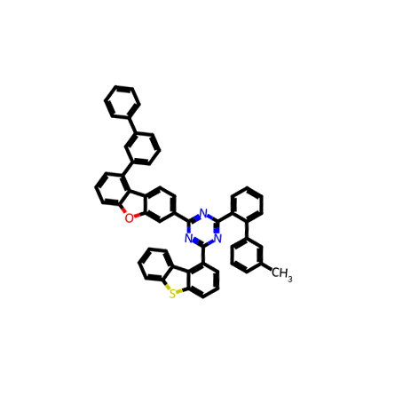 Cc1cccc(-c2ccccc2-c2nc(-c3ccc4c(c3)oc3cccc(-c5cccc(-c6ccccc6)c5)c34)nc(-c3cccc4sc5ccccc5c34)n2)c1